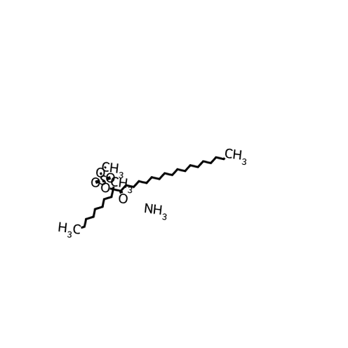 CCCCCCCCCCCCCCCCCC(=O)C(C)(CCCCCCCC)OS(=O)(=O)OC.N